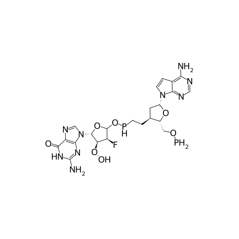 Nc1nc2c(ncn2[C@@H]2OC(OPCC[C@H]3C[C@H](n4ccc5c(N)ncnc54)O[C@@H]3COP)[C@@H](F)[C@H]2OO)c(=O)[nH]1